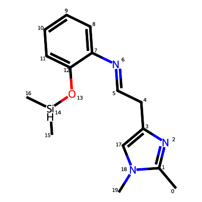 Cc1nc(CC=Nc2ccccc2O[SiH](C)C)cn1C